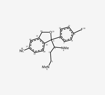 CNCCC(NC)C1(c2ccc(F)cc2)OCc2cc(C#N)ccc21